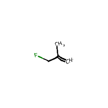 [CH]=C(C)CF